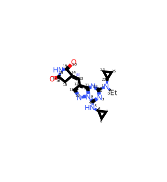 CCN(c1nc(NC2CC2)n2ncc(/C=C3\CC(=O)NC3=O)c2n1)C1CC1